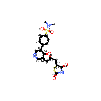 CN(C)S(=O)(=O)c1ccc(-c2cncc3cc(/C=C4\SC(=O)NC4=O)oc23)cc1